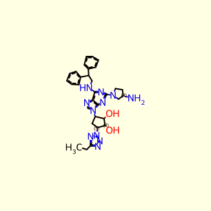 CCc1nnn([C@H]2CC(n3cnc4c(NCC(c5ccccc5)c5ccccc5)nc(N5CC[C@@H](N)C5)nc43)C(O)[C@@H]2O)n1